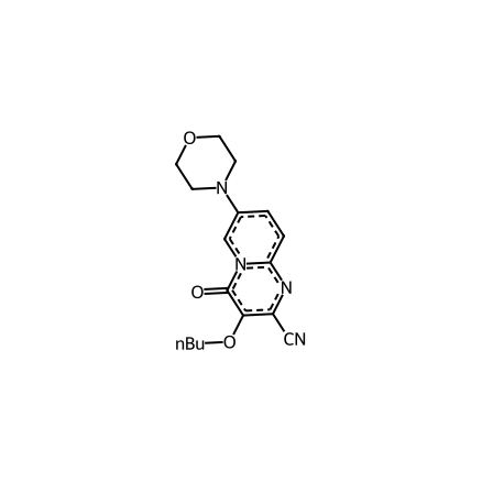 CCCCOc1c(C#N)nc2ccc(N3CCOCC3)cn2c1=O